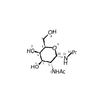 CC(=O)N[C@@H]1[C@@H](O)[C@@H](O)[C@@H](CO)O[C@@H]1NC(C)C